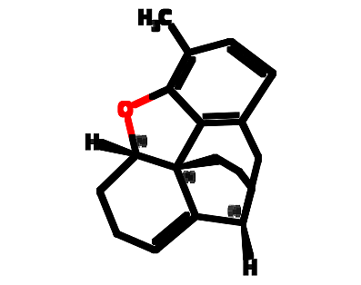 Cc1ccc2c3c1O[C@H]1CCC=C4[C@H](CCC[C@]431)C2